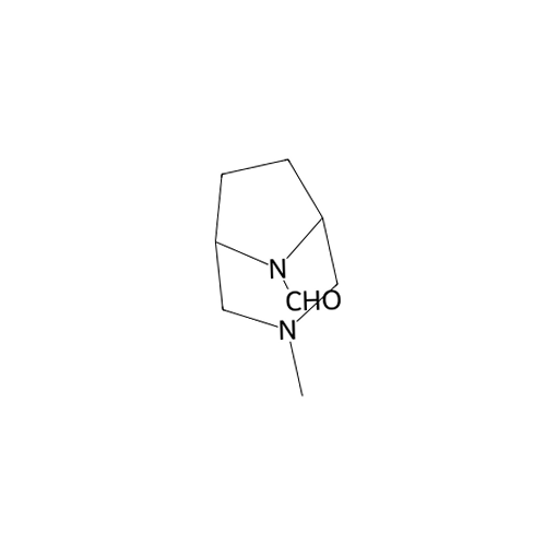 CN1CC2CCC(C1)N2C=O